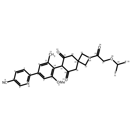 COc1cc(-c2ccc(C#N)cn2)cc(C)c1C1C(=O)CC2(CC1=O)CN(C(=O)COC(F)F)C2